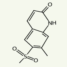 Cc1cc2[nH]c(=O)ccc2cc1S(C)(=O)=O